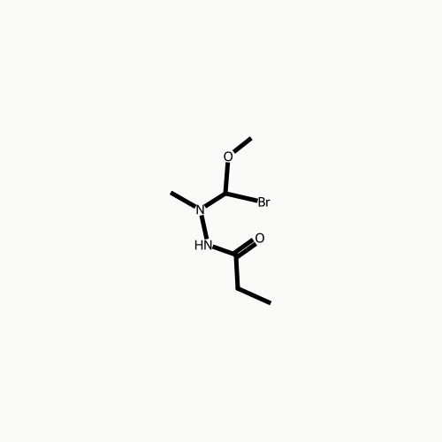 CCC(=O)NN(C)C(Br)OC